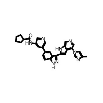 Cc1cn(-c2cncc3[nH]c(-c4n[nH]c5ccc(-c6cncc(NC(=O)C7CCCC7)c6)cc45)cc23)cn1